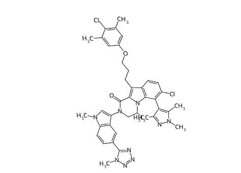 Cc1cc(OCCCc2c3n(c4c(-c5c(C)nn(C)c5C)c(Cl)ccc24)C(C)CN(c2cn(C)c4ccc(-c5nnnn5C)cc24)C3=O)cc(C)c1Cl